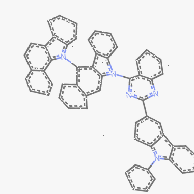 c1ccc(-n2c3ccccc3c3cc(-c4nc(-n5c6ccccc6c6c(-n7c8ccccc8c8ccc9ccccc9c87)c7ccccc7cc65)c5ccccc5n4)ccc32)cc1